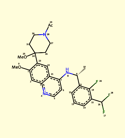 COc1cc2nccc(N[C@H](C)c3cccc(C(F)F)c3F)c2cc1C1(OC)CCN(C(C)=O)CC1